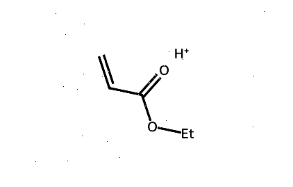 C=CC(=O)OCC.[H+]